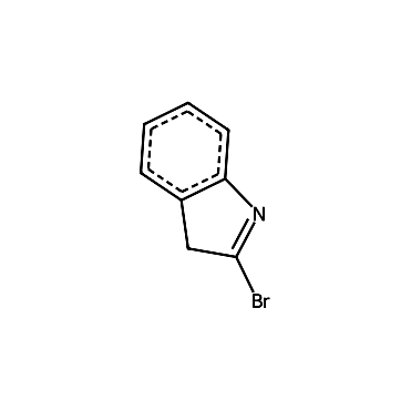 BrC1=Nc2ccccc2C1